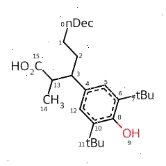 CCCCCCCCCCCCC(c1cc(C(C)(C)C)c(O)c(C(C)(C)C)c1)C(C)C(=O)O